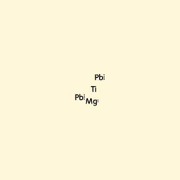 [Mg].[Pb].[Pb].[Ti]